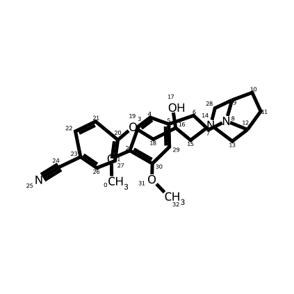 COc1ccc(CCN2C3CCC2CN(CC(O)COc2ccc(C#N)cc2)C3)cc1OC